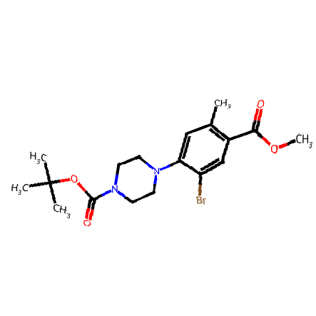 COC(=O)c1cc(Br)c(N2CCN(C(=O)OC(C)(C)C)CC2)cc1C